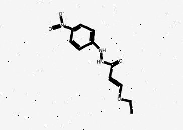 CCOC=CC(=O)NNc1ccc([N+](=O)[O-])cc1